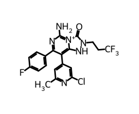 Cc1cc(-c2c(-c3ccc(F)cc3)nc(N)[n+]3c(=O)n(CCC(F)(F)F)[nH]c23)cc(Cl)n1